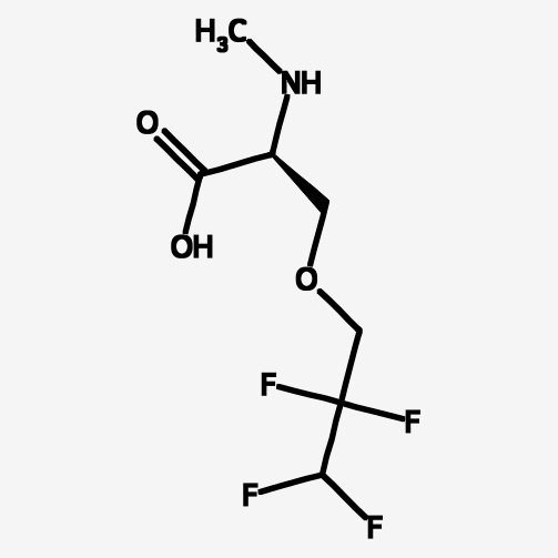 CN[C@@H](COCC(F)(F)C(F)F)C(=O)O